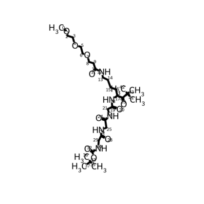 COCCOCCOCCC(=O)NCCCCC(NC(=O)CNC(=O)CNC(=O)CNC(=O)OC(C)(C)C)C(=O)C(C)(C)C